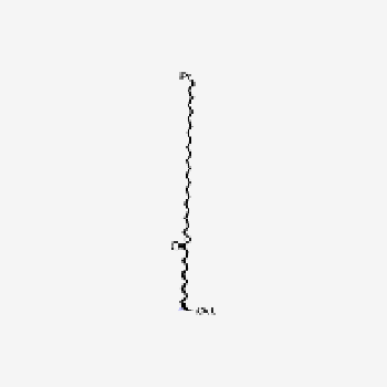 CCCCCCCC/C=C\CCCCCCCC(=O)OCCCCCCCCCCCCCCCCCCCCCCC(C)C